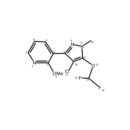 COc1ncccc1-c1nn(C)c(OC(F)F)c1Cl